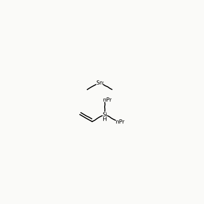 C=C[SiH](CCC)CCC.[CH3][Sn][CH3]